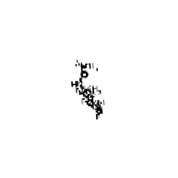 CC(=O)N(C)Cc1cccc(CCNc2ncc3cc(-c4c(F)ccc(NS(=O)(=O)N5CC[C@@H](F)C5)c4F)c(=O)n(C)c3n2)c1